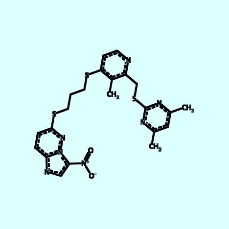 Cc1cc(C)nc(SCc2nccc(SCCCSc3ccc4ncc([N+](=O)[O-])n4n3)c2C)n1